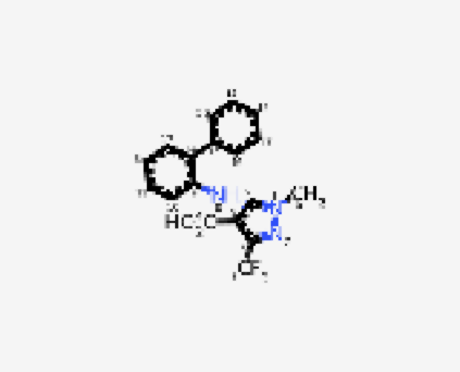 Cn1cc(C(=O)O)c(C(F)(F)F)n1.Nc1ccccc1-c1ccccc1